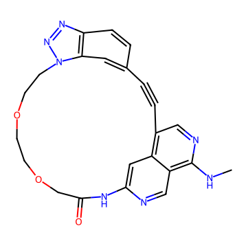 CNc1ncc2c3cc(ncc13)NC(=O)COCCOCCn1nnc3ccc(cc31)C#C2